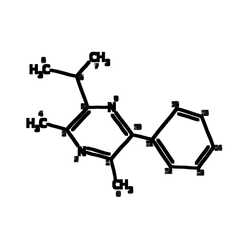 Cc1nc(C)c(C(C)C)nc1-c1ccccc1